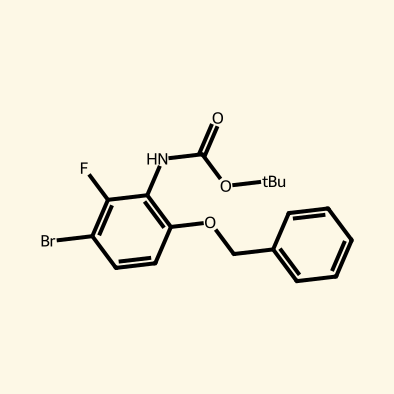 CC(C)(C)OC(=O)Nc1c(OCc2ccccc2)ccc(Br)c1F